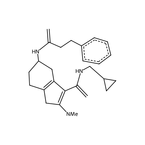 C=C(CCc1ccccc1)NC1CCC2=C(C1)C(C(=C)NCC1CC1)=C(NC)C2